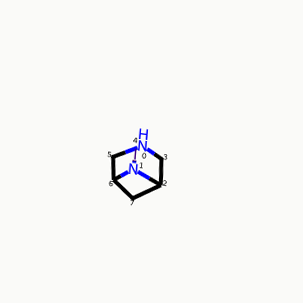 IN1C2CNCC1C2